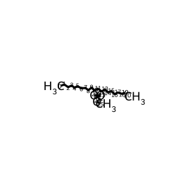 CCCCCCCCCCC(CCCCCCCCCC)OC(=O)OC